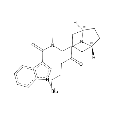 CCn1cc(C(=O)N(C)CC2C[C@H]3CC[C@H](C2)N3CC(=O)CCCC(C)(C)C)c2ccccc21